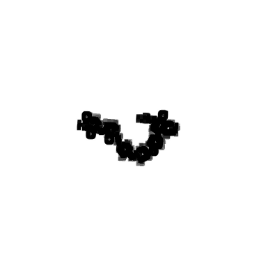 CCCCn1cc(-c2ccc(OC3CCN(CC4CCN(CCn5cccc(CN6CCC(=O)NC6=O)c5=O)CC4)CC3)cc2)c2ccncc2c1=O